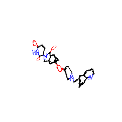 O=C1CCC(N2Cc3cc(OC4CCN(Cc5ccc6ncccc6c5)C4)ccc3C2=O)C(=O)N1